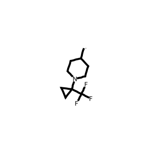 [CH2]C1CCN(C2(C(F)(F)F)CC2)CC1